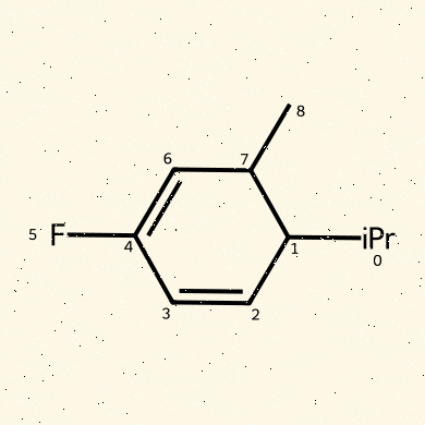 CC(C)C1C=CC(F)=CC1C